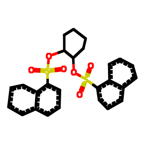 O=S(=O)(OC1CCCCC1OS(=O)(=O)c1cccc2ccccc12)c1cccc2ccccc12